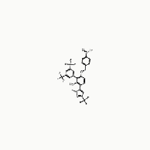 Cn1nc(C(F)(F)F)cc1-c1ccc(OCc2ccc([N+](=O)[O-])cc2)c(-c2cc(C(F)(F)F)cc(C(F)(F)F)c2)c1O